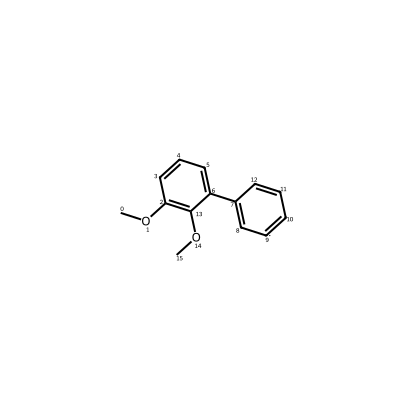 COc1cccc(-c2c[c]ccc2)c1OC